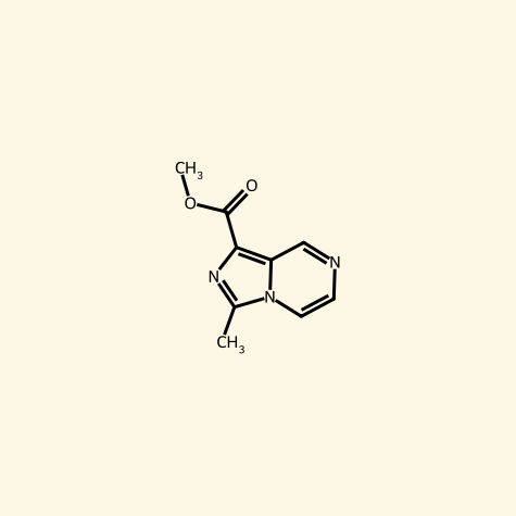 COC(=O)c1nc(C)n2ccncc12